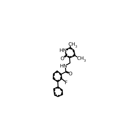 Cc1cc(C)c(CNC(=O)c2cccc(-c3ccccc3)c2F)c(=O)[nH]1